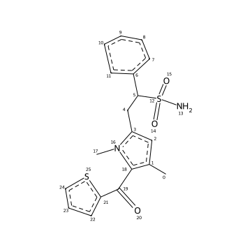 Cc1cc(CC(c2ccccc2)S(N)(=O)=O)n(C)c1C(=O)c1cccs1